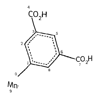 Cc1cc(C(=O)O)cc(C(=O)O)c1.[Mn]